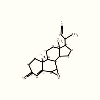 CC(C=O)C1CCC2C3C4OC4C4=CC(=O)CCC4(C)C3CCC12C